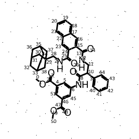 COC(=O)c1cc(NC(=O)C(CNC(=O)c2cc3ccccc3cc2C(=O)NCC23CC4CC(CC(C4)C2)C3)c2ccccc2)cc(C(=O)OC)c1